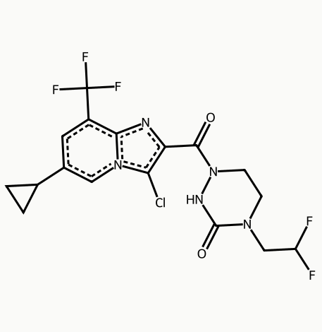 O=C1NN(C(=O)c2nc3c(C(F)(F)F)cc(C4CC4)cn3c2Cl)CCN1CC(F)F